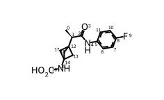 C[C@@H](C(=O)Nc1ccc(F)cc1)C12CC(NC(=O)O)(C1)C2